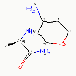 C[C@@H](N)C(N)=O.NC1CCOCC1